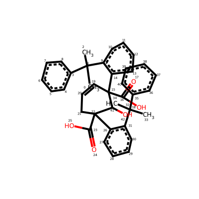 CC(C)(c1ccccc1)c1ccccc1C1(C(=O)O)C=CCC(C(=O)O)(c2ccccc2C(C)(C)c2ccccc2)C1O